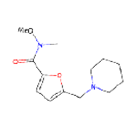 CON(C)C(=O)c1ccc(CN2CCCCC2)o1